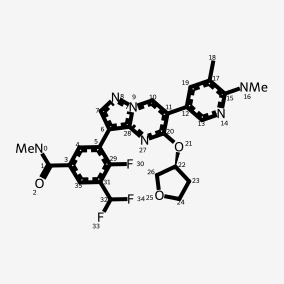 CNC(=O)c1cc(-c2cnn3cc(-c4cnc(NC)c(C)c4)c(O[C@H]4CCOC4)nc23)c(F)c(C(F)F)c1